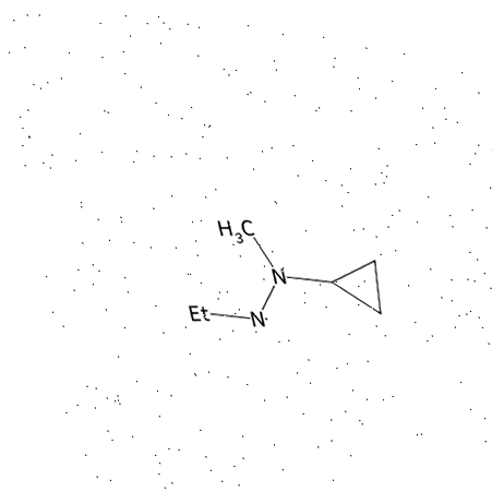 CC[N]N(C)C1CC1